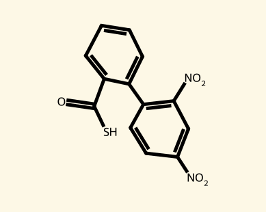 O=C(S)c1ccccc1-c1ccc([N+](=O)[O-])cc1[N+](=O)[O-]